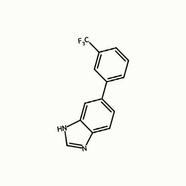 FC(F)(F)c1cccc(-c2ccc3nc[nH]c3c2)c1